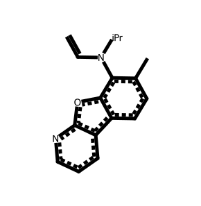 C=CN(c1c(C)ccc2c1oc1ncccc12)C(C)C